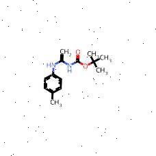 C=C(NC(=O)OC(C)(C)C)Nc1ccc(C)cc1